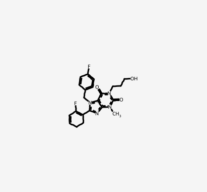 Cn1c(=O)n(CCCO)c(=O)c2c1nc(C1=C(F)C=CCC1)n2CC1=C=C=C(F)C=C1